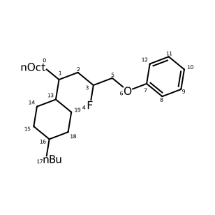 CCCCCCCCC(CC(F)COc1ccccc1)C1CCC(CCCC)CC1